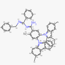 Cc1ccc2c(c1)c1c(n2-c2cc(/C(N)=N/C(=N\Cc3ccccc3)c3ccccc3)c(C#N)cc2-n2c3ccccc3c3cc(C)ccc32)C=CCC1